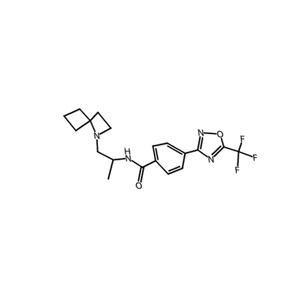 CC(CN1CCC12CCC2)NC(=O)c1ccc(-c2noc(C(F)(F)F)n2)cc1